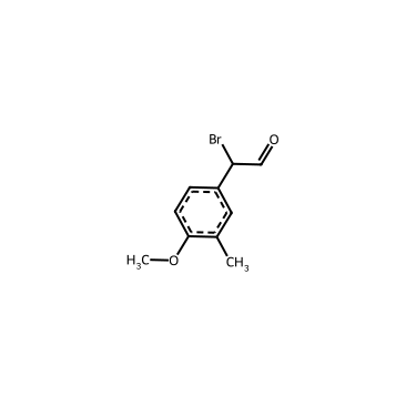 COc1ccc(C(Br)C=O)cc1C